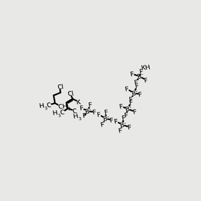 CC(C)C=[C](Cl)[K].CC(C)CCCl.F[B-](F)(F)F.F[B-](F)(F)F.F[B-](F)(F)F.F[B-](F)(F)F.F[B-](F)(F)F.F[B-](F)(F)F.[KH]